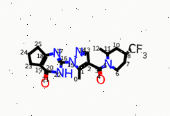 Cc1c(C(=O)N2CCC(C(F)(F)F)CC2C)cnn1-c1nc2c(c(=O)[nH]1)CCC2